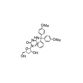 COc1ccc(C(Nc2ccn([C@@H]3O[C@H](CO)C[C@@H]3O)c(=O)n2)(c2ccccc2)c2ccc(OC)cc2)cc1